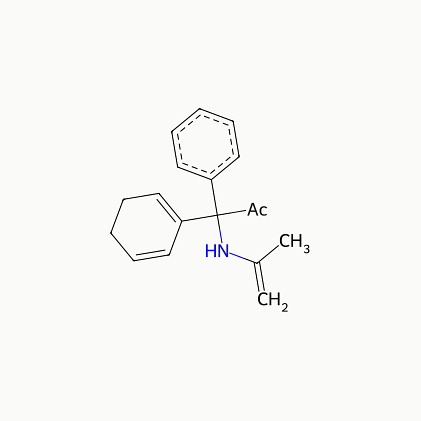 C=C(C)NC(C(C)=O)(C1=CCCC=C1)c1ccccc1